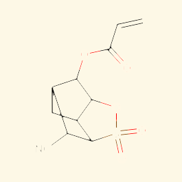 C=CC(=O)OC1C2CC3C1OS(=O)(=O)C3C2C#N